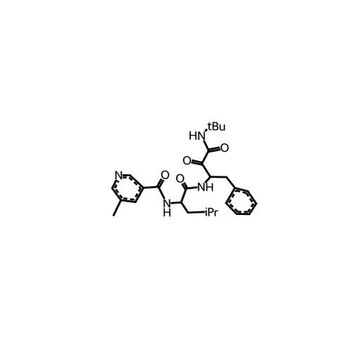 Cc1cncc(C(=O)NC(CC(C)C)C(=O)NC(Cc2ccccc2)C(=O)C(=O)NC(C)(C)C)c1